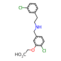 O=C(O)COc1cc(CNCCc2cccc(Cl)c2)ccc1Cl